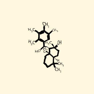 Cc1cc(C(O)[C@@H]2[C@@]3(C)CCCC(C)(C)[C@@H]3CC[C@@]2(C)O)c(C)c(C)c1C